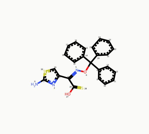 Nc1nc(C(=NOC(c2ccccc2)(c2ccccc2)c2ccccc2)C(O)=S)cs1